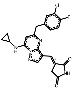 O=C1C/C(=C\c2cnn3c(NC4CC4)cc(Cc4ccc(F)c(Cl)c4)nc23)C(=O)N1